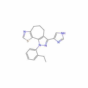 CCc1ccccc1-n1nc(-c2c[nH]cn2)c2c1-c1scnc1CCC2